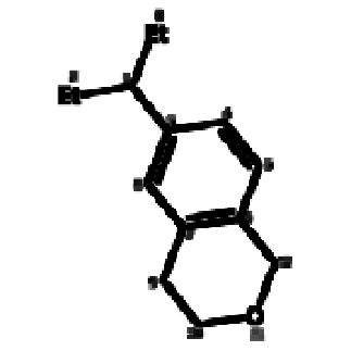 CCC(CC)c1ccc2c(c1)CCOC2